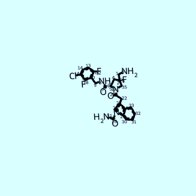 NC[C@@]1(F)C[C@@H](C(=O)NCc2c(F)ccc(Cl)c2F)N(C(=O)Cc2cn(C(N)=O)c3ccccc23)C1